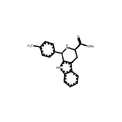 COC(=O)C1Cc2c([nH]c3ccccc23)C(c2ccc(C)cc2)N1